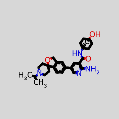 CC(C)N1CCC2(CC1)OCc1cc(-c3cnc(N)c(C(=O)NC45CCC(O)(CC4)CC5)c3)ccc12